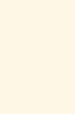 CC(C)C1CCn2c1nccc2=O